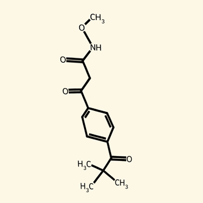 CONC(=O)CC(=O)c1ccc(C(=O)C(C)(C)C)cc1